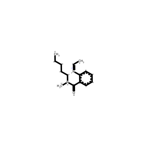 C/C=N\c1ccccc1C(=O)N(C)CCCCC